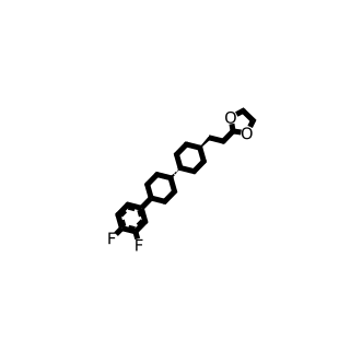 Fc1ccc(C2CCC([C@H]3CC[C@H](CCC4OCCO4)CC3)CC2)cc1F